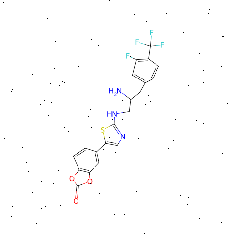 NC(CNc1ncc(-c2ccc3oc(=O)oc3c2)s1)Cc1ccc(C(F)(F)F)c(F)c1